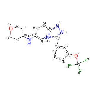 FC(F)(F)Oc1cccc(-c2nnc3ccc(NC4CCOCC4)cn23)c1